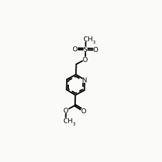 COC(=O)c1ccc(COS(C)(=O)=O)nc1